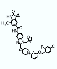 Cc1cc(C(=O)Nc2ccc3c(c2)nc(C2CC24CCN(c2cccc(OCc5ccc(Cl)cc5F)n2)CC4)n3C[C@@H]2CCO2)cc2c1NC(=O)C21CC1